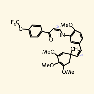 COC1=CC(C)(/C=C\c2ccc(OC)c(N/C=C\C(=O)c3ccc(OC(F)(F)F)cc3)c2)CC(OC)=C1OC